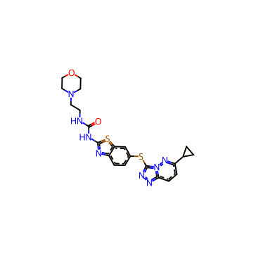 O=C(NCCN1CCOCC1)Nc1nc2ccc(Sc3nnc4ccc(C5CC5)nn34)cc2s1